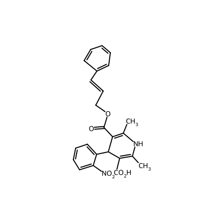 CC1=C(C(=O)O)C(c2ccccc2[N+](=O)[O-])C(C(=O)OC/C=C/c2ccccc2)=C(C)N1